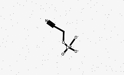 N#CCO[Cl+3]([O-])([O-])[O-]